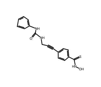 O=C(NCC#Cc1ccc(C(=S)NO)cc1)Nc1ccccc1